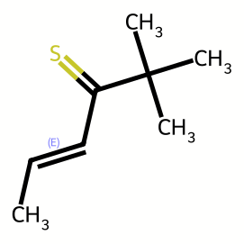 C/C=C/C(=S)C(C)(C)C